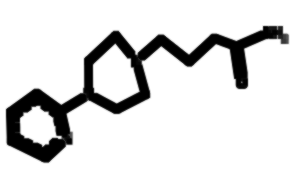 NC(=O)CCCN1CCN(c2ccccn2)CC1